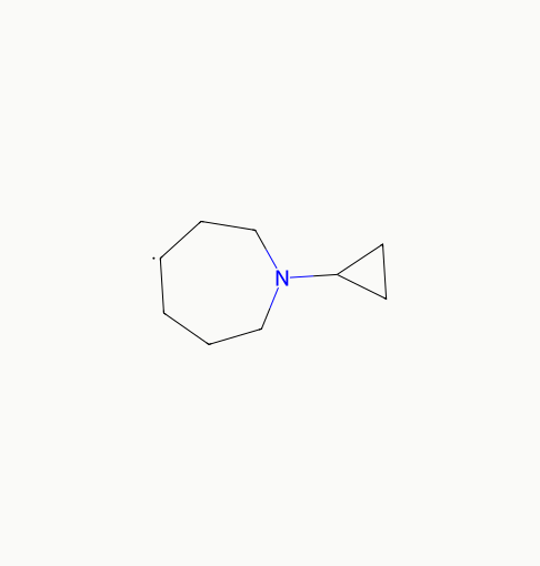 [CH]1CCCN(C2CC2)CC1